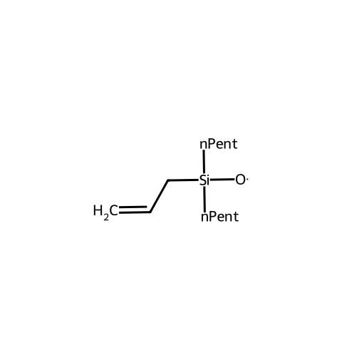 C=CC[Si]([O])(CCCCC)CCCCC